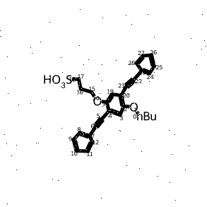 CCCCOc1cc(C#Cc2ccccc2)c(OCCCS(=O)(=O)O)cc1C#Cc1ccccc1